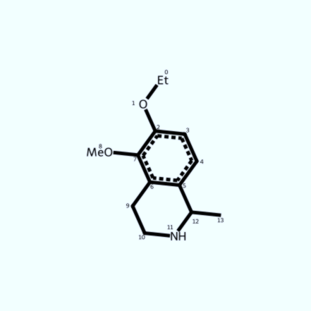 CCOc1ccc2c(c1OC)CCNC2C